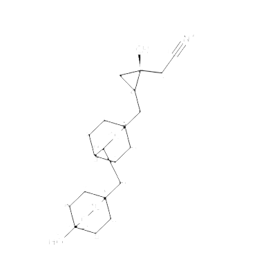 C[C@]1(CC#N)CC1CC12CCC(CC1)C(CC13CCC(O)(CC1)CC3)C2